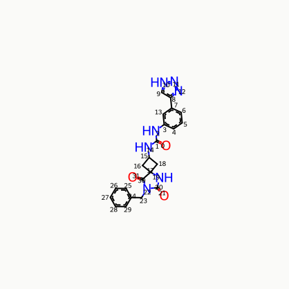 O=C(Nc1cccc(-c2c[nH]nn2)c1)NC1CC2(C1)NC(=O)N(Cc1ccccc1)C2=O